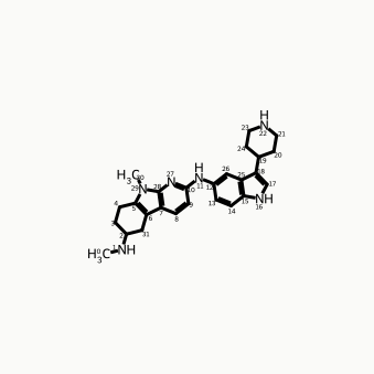 CNC1CCc2c(c3ccc(Nc4ccc5[nH]cc(C6CCNCC6)c5c4)nc3n2C)C1